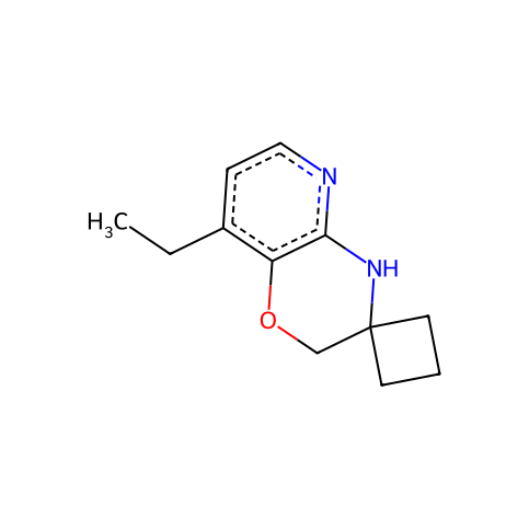 CCc1ccnc2c1OCC1(CCC1)N2